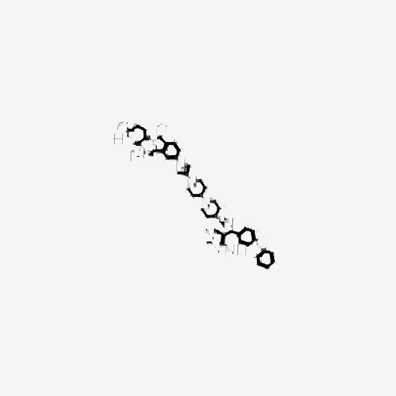 Nc1ncnc2c1c(-c1ccc(Oc3ccccc3)cc1)nn2C1CCN(C2CCN(C3CN(c4ccc5c(c4)C(O)N(C4CCC(=O)NC4=O)C5=O)C3)CC2)CC1